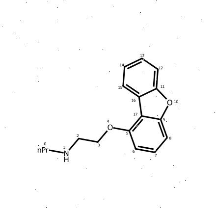 CCCNCCOc1cccc2oc3ccccc3c12